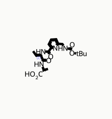 C/C=C(\NC(=O)c1cccc(CNC(=O)OC(C)(C)C)n1)C(=O)N[C@@H](C)C(=O)O